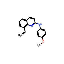 C=Cc1cccc2ccc(Nc3ccc(OC(F)(F)F)cc3)nc12